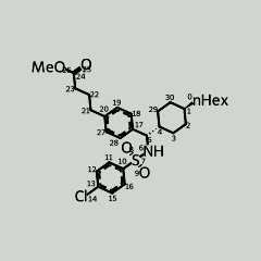 CCCCCC[C@H]1CC[C@H](C(NS(=O)(=O)c2ccc(Cl)cc2)c2ccc(CCCC(=O)OC)cc2)CC1